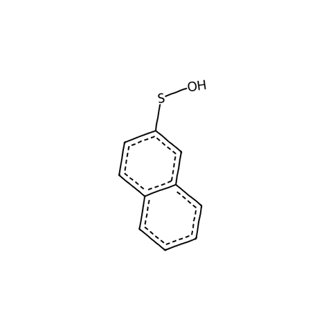 OSc1ccc2ccccc2c1